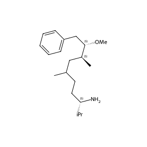 CO[C@@H](Cc1ccccc1)[C@@H](C)CC(C)CC[C@H](N)C(C)C